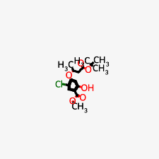 COC(=O)c1cc(Cl)c(OC(C)CC(=O)OC(C)(C)C)cc1O